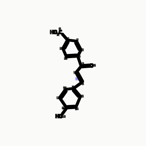 O=C(O)c1ccc(C(=O)/C=C/c2ccc(O)cc2)cc1